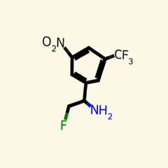 NC(CF)c1cc([N+](=O)[O-])cc(C(F)(F)F)c1